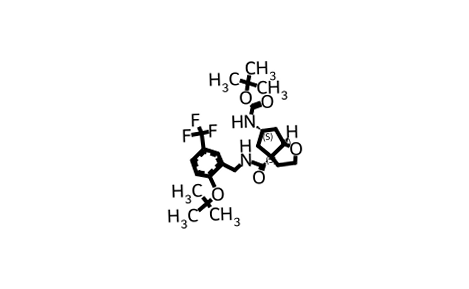 CC(C)(C)OC(=O)N[C@@H]1C[C@H]2OCC[C@@]2(C(=O)NCc2cc(C(F)(F)F)ccc2OC(C)(C)C)C1